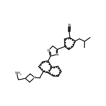 CC(C)Cc1ccc(C2=NC(c3ccc(CN4CC(CN)C4)c4ccccc34)=NC2)cc1C#N